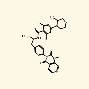 Cn1c(=O)n(-c2ccc(CC(NC(=O)c3c(F)cc(N4CCOCC4C(F)(F)F)cc3F)C(=O)O)cn2)c(=O)c2ccncc21